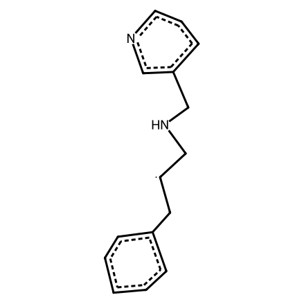 [CH](CNCc1cccnc1)Cc1ccccc1